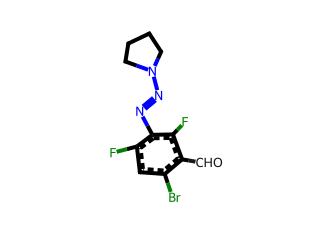 O=Cc1c(Br)cc(F)c(/N=N/N2CCCC2)c1F